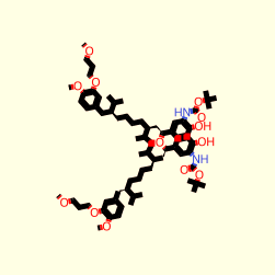 COCCCOc1cc(C[C@H](CCCC[C@H](C[C@H](O[C@H](C[C@H](CCCC[C@@H](Cc2ccc(OC)c(OCCCOC)c2)C(C)C)C(C)C)c2ccc(O)c(NC(=O)OC(C)(C)C)c2)c2ccc(O)c(NC(=O)OC(C)(C)C)c2)C(C)C)C(C)C)ccc1OC